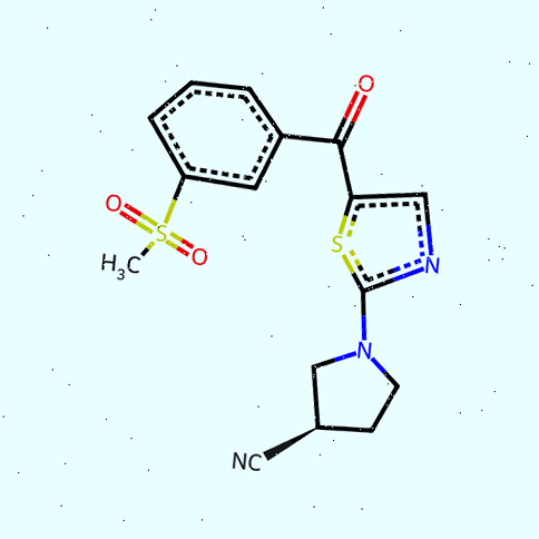 CS(=O)(=O)c1cccc(C(=O)c2cnc(N3CC[C@@H](C#N)C3)s2)c1